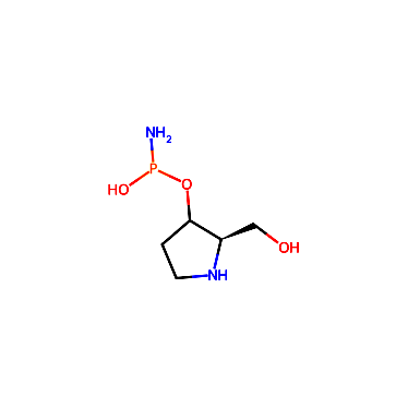 NP(O)OC1CCN[C@@H]1CO